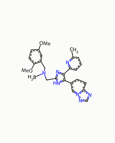 BN(Cc1nc(-c2cccc(C)n2)c(-c2ccc3ncnn3c2)[nH]1)Cc1cc(OC)ccc1OC